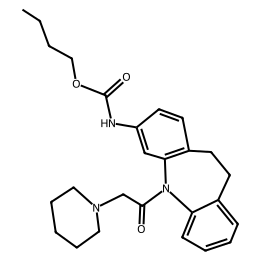 CCCCOC(=O)Nc1ccc2c(c1)N(C(=O)CN1CCCCC1)c1ccccc1CC2